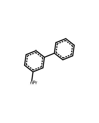 CCCc1cc[c]c(-c2ccccc2)c1